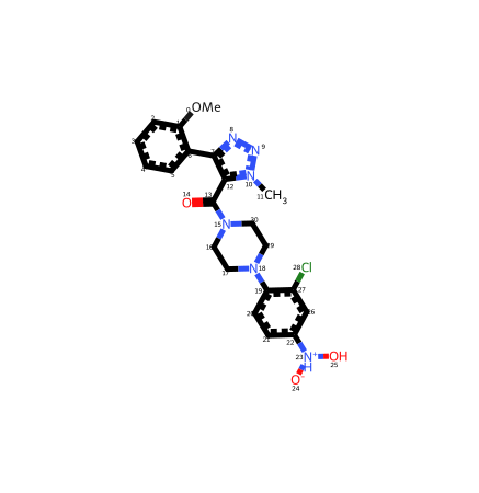 COc1ccccc1-c1nnn(C)c1C(=O)N1CCN(c2ccc([NH+]([O-])O)cc2Cl)CC1